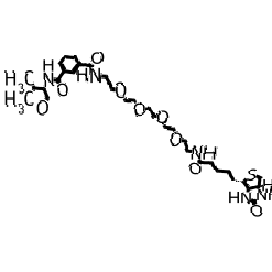 CC(C)C(C=O)NC(=O)c1cccc(C(=O)NCCOCCOCCOCCOCCNC(=O)CCCC[C@@H]2SC[C@@H]3NC(=O)NC32)c1